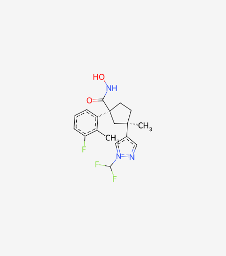 Cc1c(F)cccc1[C@]1(C(=O)NO)CC[C@@](C)(c2cnn(C(F)F)c2)C1